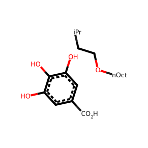 CCCCCCCCOCCC(C)C.O=C(O)c1cc(O)c(O)c(O)c1